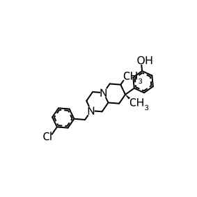 CC1CN2CCN(Cc3cccc(Cl)c3)CC2C[C@@]1(C)c1cccc(O)c1